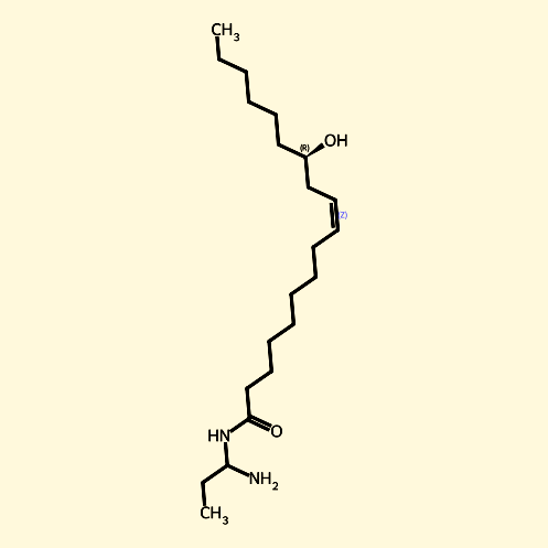 CCCCCC[C@@H](O)C/C=C\CCCCCCCC(=O)NC(N)CC